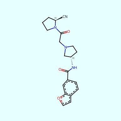 N#C[C@@H]1CCCN1C(=O)CN1CC[C@H](NC(=O)c2ccc3ccoc3c2)C1